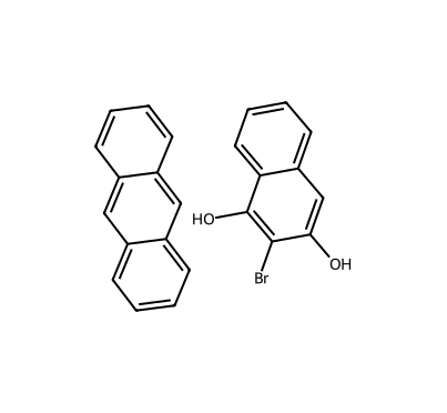 Oc1cc2ccccc2c(O)c1Br.c1ccc2cc3ccccc3cc2c1